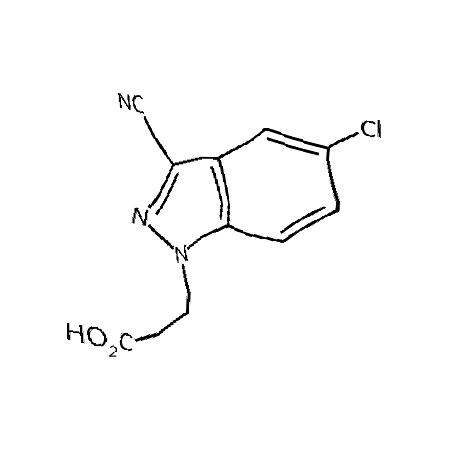 N#Cc1nn(CC(=O)O)c2ccc(Cl)cc12